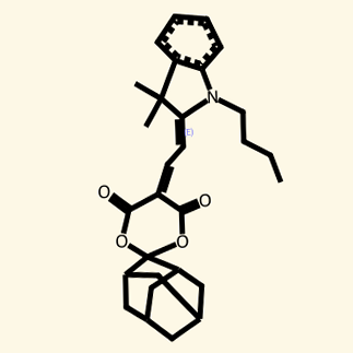 CCCCN1/C(=C/C=C2C(=O)OC3(OC2=O)C2CC4CC(C2)CC3C4)C(C)(C)c2ccccc21